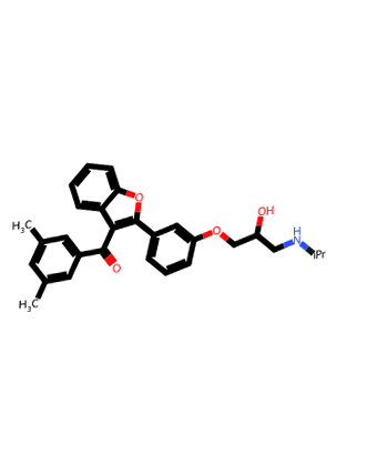 Cc1cc(C)cc(C(=O)c2c(-c3cccc(OCC(O)CNC(C)C)c3)oc3ccccc23)c1